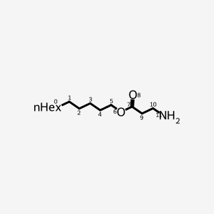 CCCCCCCCCCCOC(=O)CCN